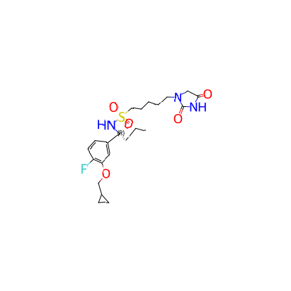 CCC[C@@H](NS(=O)(=O)CCCCCN1CC(=O)NC1=O)c1ccc(F)c(OCC2CC2)c1